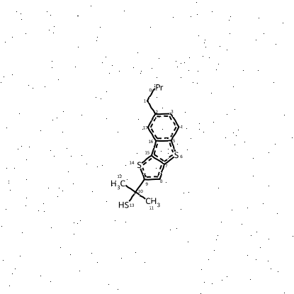 CC(C)Cc1ccc2sc3cc(C(C)(C)S)sc3c2c1